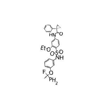 CCOc1cc(NC(=O)C2(c3ccccc3)CC2)ccc1S(=O)(=O)Nc1cccc(OC(C)(F)P)c1